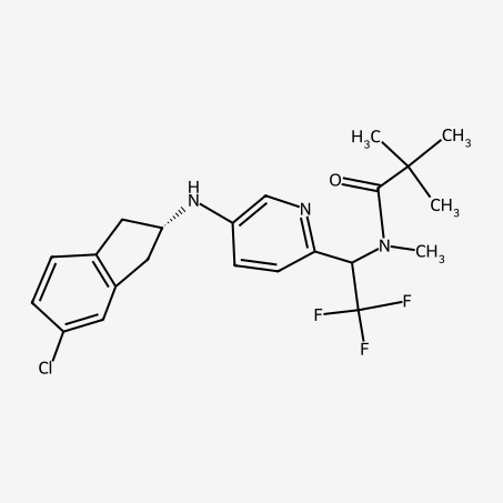 CN(C(=O)C(C)(C)C)C(c1ccc(N[C@H]2Cc3ccc(Cl)cc3C2)cn1)C(F)(F)F